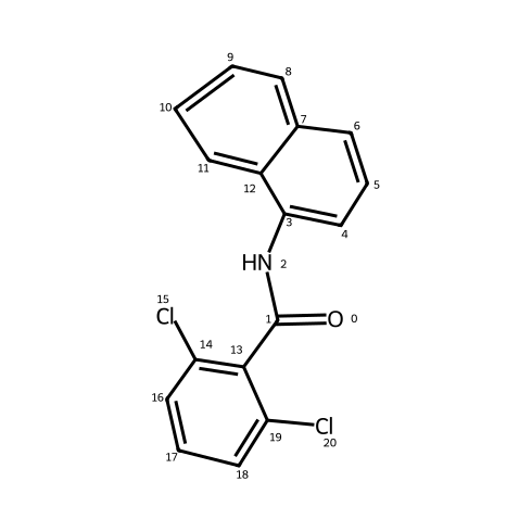 O=C(Nc1cccc2ccccc12)c1c(Cl)cccc1Cl